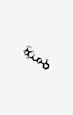 Cc1nsc(NC(=O)Cc2csc(-c3ccccc3Br)n2)c1Cl